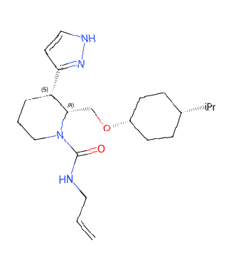 C=CCNC(=O)N1CCC[C@H](c2cc[nH]n2)[C@@H]1CO[C@H]1CC[C@@H](C(C)C)CC1